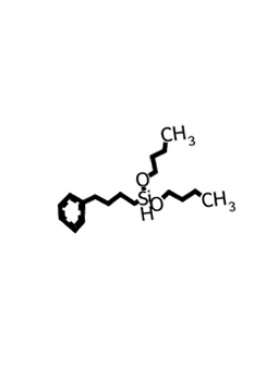 CCCCO[SiH](CCCCc1ccccc1)OCCCC